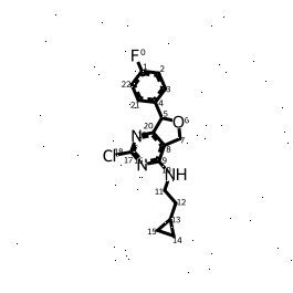 Fc1ccc(C2OCc3c(NCCC4CC4)nc(Cl)nc32)cc1